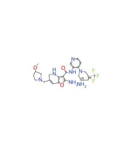 COC1CCN(CC2=Cc3oc(N)c(C(=O)Nc4cnccc4N4C[C@@H](N)C[C@@H](C(F)(F)F)C4)c3NC2)C1